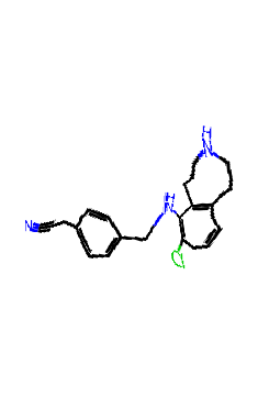 N#Cc1ccc(CNc2c(Cl)ccc3c2CCNCC3)cc1